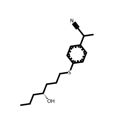 CCC[C@@H](O)CCCSc1ccc(C(C)C#N)cc1